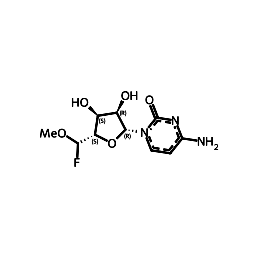 COC(F)[C@H]1O[C@@H](n2ccc(N)nc2=O)[C@H](O)[C@@H]1O